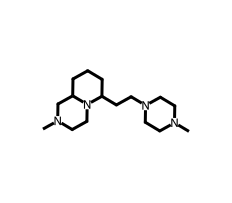 CN1CCN(CCC2CCCC3CN(C)CCN23)CC1